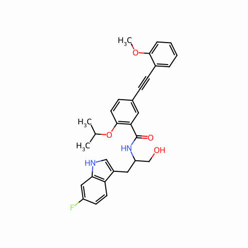 COc1ccccc1C#Cc1ccc(OC(C)C)c(C(=O)NC(CO)Cc2c[nH]c3cc(F)ccc23)c1